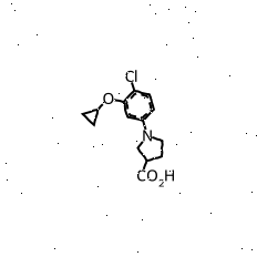 O=C(O)C1CCN(c2ccc(Cl)c(OC3CC3)c2)C1